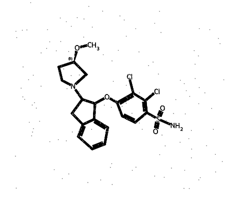 CO[C@@H]1CCN(C2Cc3ccccc3C2Oc2ccc(S(N)(=O)=O)c(Cl)c2Cl)C1